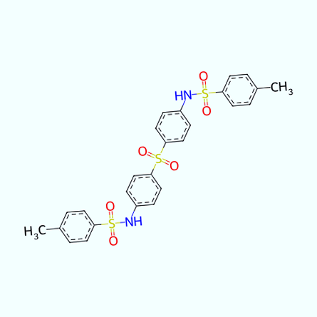 Cc1ccc(S(=O)(=O)Nc2ccc(S(=O)(=O)c3ccc(NS(=O)(=O)c4ccc(C)cc4)cc3)cc2)cc1